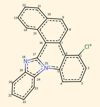 Clc1cccc2c1c1ccc3ccccc3c1c1nc3ccccc3n21